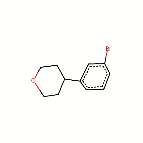 Brc1cccc(C2CCOCC2)c1